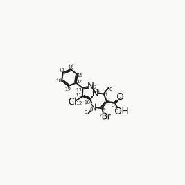 CC1C(C(=O)O)=C(Br)N(C)c2c(Cl)c(-c3ccccc3)nn21